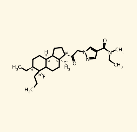 CCC[C@]1(F)C2CC[C@@]3(C)C(CC[C@@H]3C(=O)Cn3cc(C(=O)N(C)CC)cn3)[C@@H]2CC[C@@H]1CC